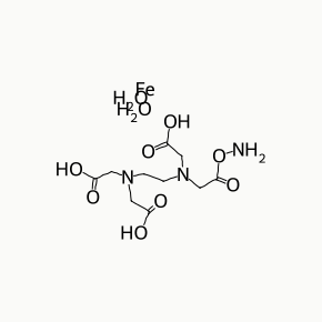 NOC(=O)CN(CCN(CC(=O)O)CC(=O)O)CC(=O)O.O.O.[Fe]